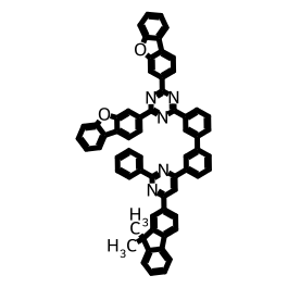 CC1(C)c2ccccc2-c2ccc(-c3cc(-c4cccc(-c5cccc(-c6nc(-c7ccc8c(c7)oc7ccccc78)nc(-c7ccc8c(c7)oc7ccccc78)n6)c5)c4)nc(-c4ccccc4)n3)cc21